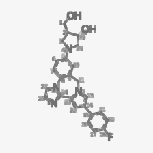 OC[C@@H]1CN(c2ccc3c(c2)Cn2cc(-c4ccc(F)cc4)cc2-c2nccn2-3)C[C@H]1O